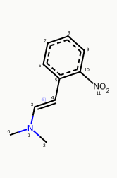 CN(C)/C=C/c1ccccc1[N+](=O)[O-]